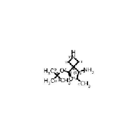 CC[C@H](N)C1(C(=O)OC(C)(C)C)CNC1